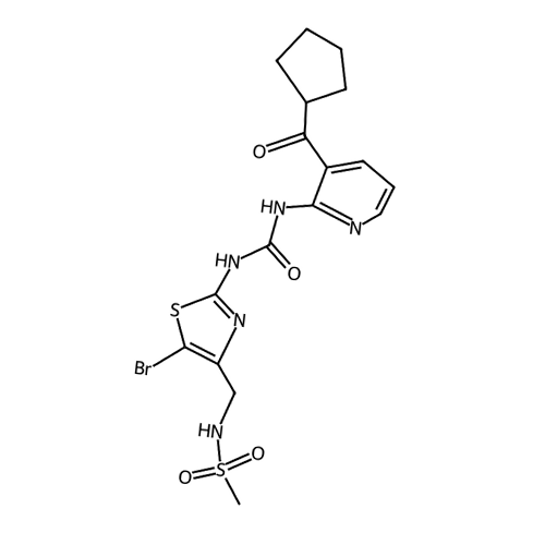 CS(=O)(=O)NCc1nc(NC(=O)Nc2ncccc2C(=O)C2CCCC2)sc1Br